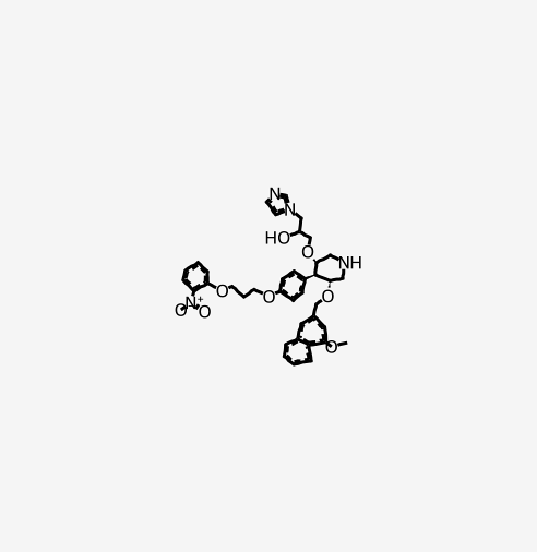 COc1cc(CO[C@H]2CNC[C@@H](OCC(O)Cn3ccnc3)[C@@H]2c2ccc(OCCCOc3ccccc3[N+](=O)[O-])cc2)cc2ccccc12